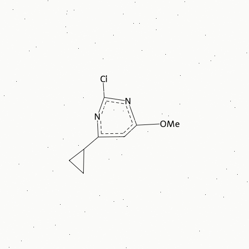 COc1cc(C2CC2)nc(Cl)n1